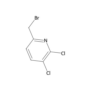 Clc1ccc(CBr)nc1Cl